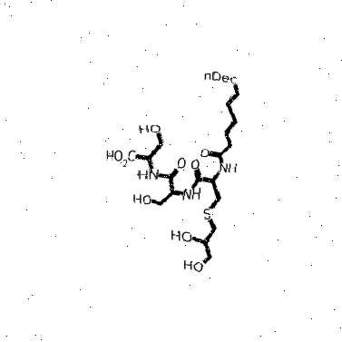 CCCCCCCCCCCCCCCC(=O)NC(CSCC(O)CO)C(=O)NC(CO)C(=O)NC(CO)C(=O)O